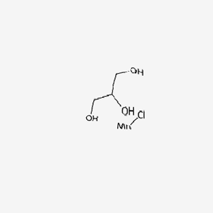 OCC(O)CO.[Cl][Mn]